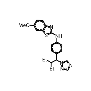 CCC(CC)C(c1ccc(Nc2nc3ccc(OC)cc3s2)cc1)n1cncn1